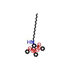 CCCCCCCCCCCCCCCCCNc1cc(C(=O)Oc2ccccc2)c(C(=O)Oc2ccccc2)c(C(=O)Oc2ccccc2)c1